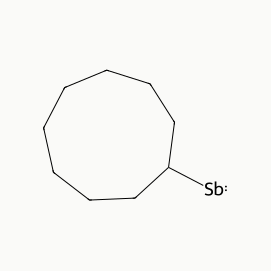 [Sb][CH]1CCCCCCCC1